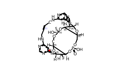 O=P1(O)OC[C@H]2O[C@@H]3[C@H](F)[C@@H]2O[P@@](O)(=S)OC[C@H]2O[C@H]([C@H](F)[C@@H]2O1)n1cnc2c(ncnc21)NC/C=C/CNc1ncnc2c1ncn23